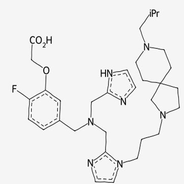 CC(C)CN1CCC2(CC1)CCN(CCCn1ccnc1CN(Cc1ccc(F)c(OCC(=O)O)c1)Cc1ncc[nH]1)C2